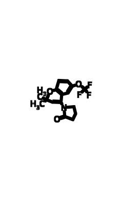 CC1(C)C=C(N2CCCC2=O)c2cc(OC(F)(F)F)ccc2O1